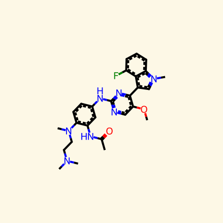 COc1cnc(Nc2ccc(N(C)CCN(C)C)c(NC(C)=O)c2)nc1-c1cn(C)c2cccc(F)c12